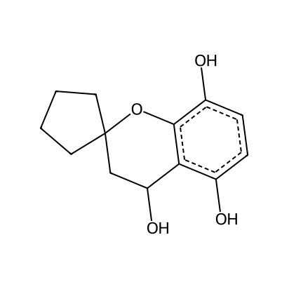 Oc1ccc(O)c2c1OC1(CCCC1)CC2O